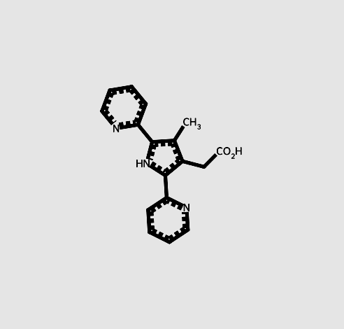 Cc1c(-c2ccccn2)[nH]c(-c2ccccn2)c1CC(=O)O